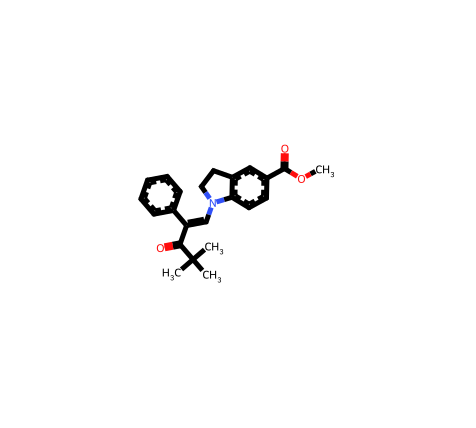 COC(=O)c1ccc2c(c1)CCN2/C=C(/C(=O)C(C)(C)C)c1ccccc1